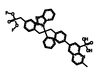 Cc1ccc2cc(-c3ccc(CC(Cc4ccc(CP(=O)(OF)OF)cc4)(c4ccccc4)n4nnc5ccccc54)cc3)cc(P(=O)(O)O)c2n1